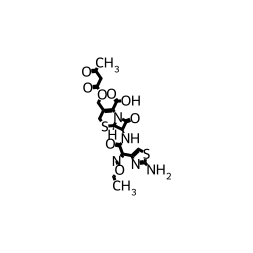 CCO/N=C(/C(=O)N[C@@H]1C(=O)N2C(C(=O)O)=C(COC(=O)CC(C)=O)CS[C@H]12)c1csc(N)n1